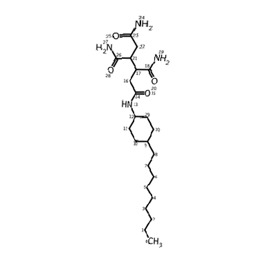 CCCCCCCCCC1CCC(NC(=O)CC(C(N)=O)C(CC(N)=O)C(N)=O)CC1